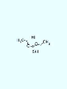 CCOP(O)OCC.I